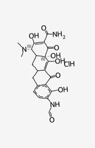 CN(C)[C@@H]1C(O)=C(C(N)=O)C(=O)[C@@]2(O)C(O)=C3C(=O)c4c(ccc(NC=O)c4O)CC3CC12.Cl